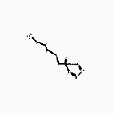 CCCCCCC1(Cl)N=NN=N1